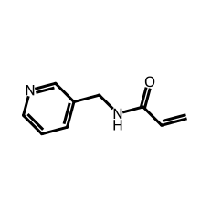 C=CC(=O)NCc1cccnc1